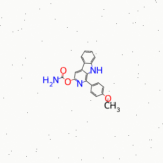 COc1ccc(-c2nc(OC(N)=O)cc3c2[nH]c2ccccc23)cc1